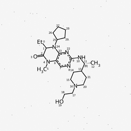 CCC1C(=O)N(C)c2cnc(N[C@H](C)C3CCN(CCO)CC3)nc2N1C1CCCC1